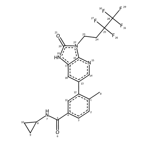 Cc1ccc(C(=O)NC2CC2)cc1-c1cnc2c(c1)[nH]c(=O)n2CCC(F)(F)C(F)(F)F